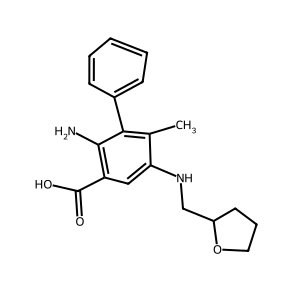 Cc1c(NCC2CCCO2)cc(C(=O)O)c(N)c1-c1ccccc1